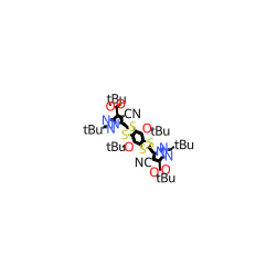 CC(C)(C)OC(=O)c1c(C#N)c(=C2Sc3c(OC(C)(C)C)c4c(c(OC(C)(C)C)c3S2)SC(=c2c(C#N)c(C(=O)OC(C)(C)C)c3nc(C(C)(C)C)nn23)S4)n2nc(C(C)(C)C)nc12